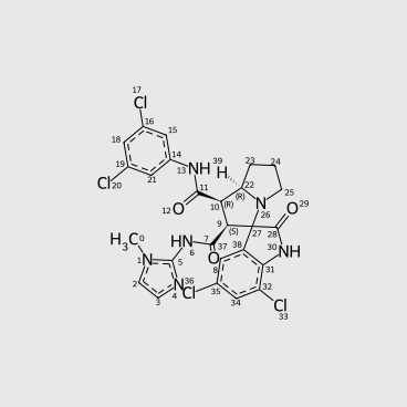 Cn1ccnc1NC(=O)[C@H]1[C@@H](C(=O)Nc2cc(Cl)cc(Cl)c2)[C@H]2CCCN2C12C(=O)Nc1c(Cl)cc(Cl)cc12